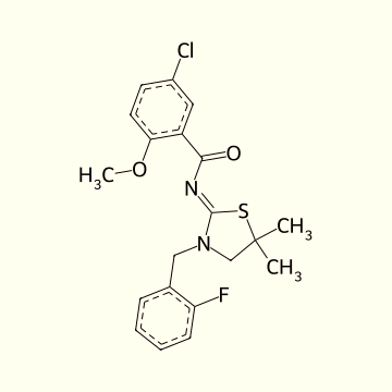 COc1ccc(Cl)cc1C(=O)N=C1SC(C)(C)CN1Cc1ccccc1F